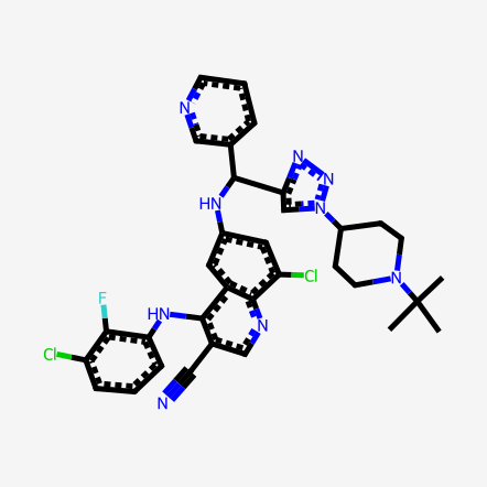 CC(C)(C)N1CCC(n2cc(C(Nc3cc(Cl)c4ncc(C#N)c(Nc5cccc(Cl)c5F)c4c3)c3cccnc3)nn2)CC1